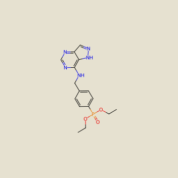 CCOP(=O)(OCC)c1ccc(CNc2ncnc3cn[nH]c23)cc1